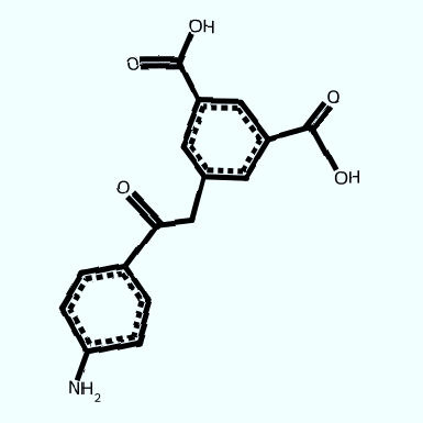 Nc1ccc(C(=O)Cc2cc(C(=O)O)cc(C(=O)O)c2)cc1